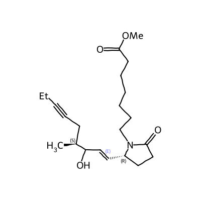 CCC#CC[C@H](C)C(O)/C=C/[C@H]1CCC(=O)N1CCCCCCC(=O)OC